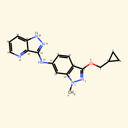 Cn1nc(OCC2CC2)c2ccc(Nc3n[nH]c4cccnc34)cc21